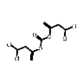 C=C(CC(Cl)Cl)OC(=O)OC(=C)CC(Cl)Cl